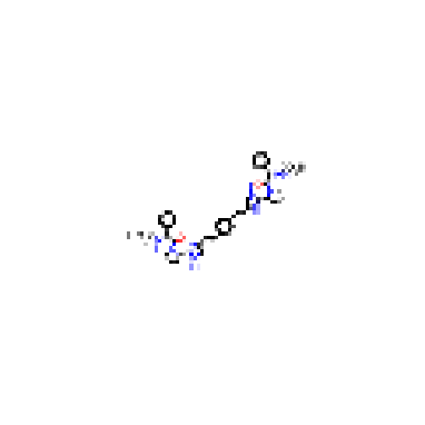 O=C(O)N[C@@H](C(=O)N1CCC[C@H]1c1nc(C=Cc2ccc(C=Cc3c[nH]c([C@@H]4CCCN4C(=O)[C@H](NC(=O)O)c4ccccc4)n3)cc2)c[nH]1)c1ccccc1